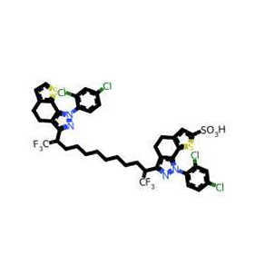 O=S(=O)(O)c1cc2c(s1)-c1c(c(C(CCCCCCCCC(c3nn(-c4ccc(Cl)cc4Cl)c4c3CCc3ccsc3-4)C(F)(F)F)C(F)(F)F)nn1-c1ccc(Cl)cc1Cl)CC2